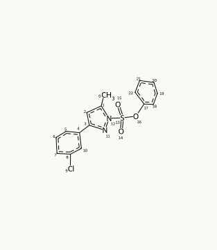 Cc1cc(-c2cccc(Cl)c2)nn1S(=O)(=O)Oc1ccccc1